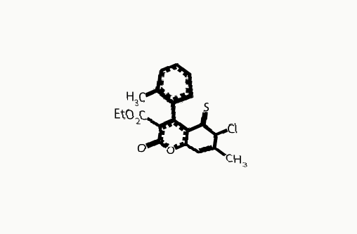 CCOC(=O)c1c(-c2ccccc2C)c2c(oc1=O)C=C(C)C(Cl)C2=S